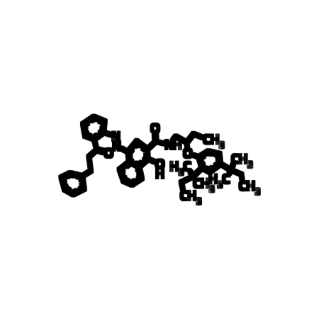 CCC(CNC(=O)c1cc(N=Nc2ccccc2C(=O)CCc2ccccc2)c2ccccc2c1O)Oc1ccc(C(C)(C)CC)cc1C(C)(C)CC